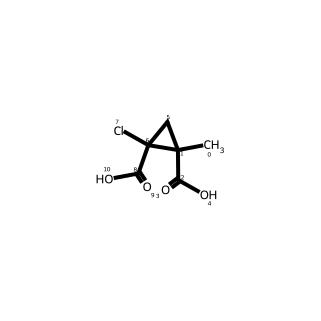 CC1(C(=O)O)CC1(Cl)C(=O)O